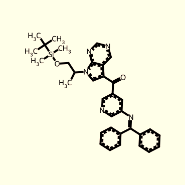 CC(CO[Si](C)(C)C(C)(C)C)n1cc(C(=O)c2cncc(N=C(c3ccccc3)c3ccccc3)c2)c2cncnc21